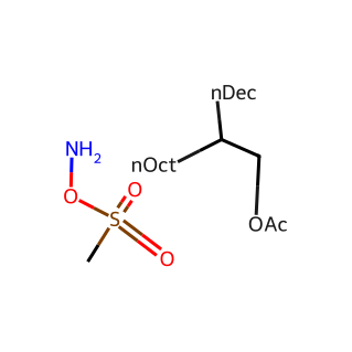 CCCCCCCCCCC(CCCCCCCC)COC(C)=O.CS(=O)(=O)ON